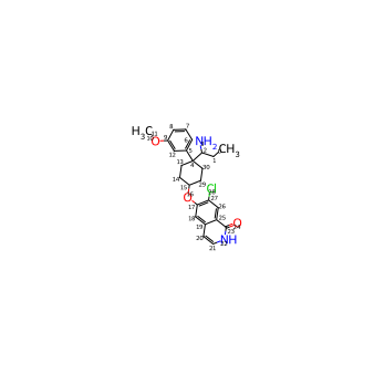 CCC(N)C1(c2cccc(OC)c2)CCC(Oc2cc3cc[nH]c(=O)c3cc2Cl)CC1